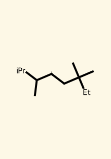 CCC(C)(C)C[CH]C(C)C(C)C